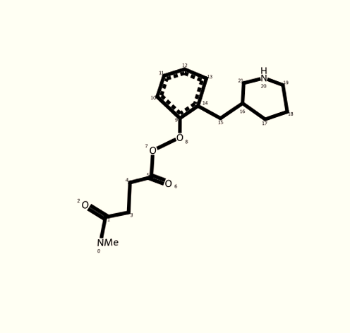 CNC(=O)CCC(=O)OOc1ccccc1CC1CCCNC1